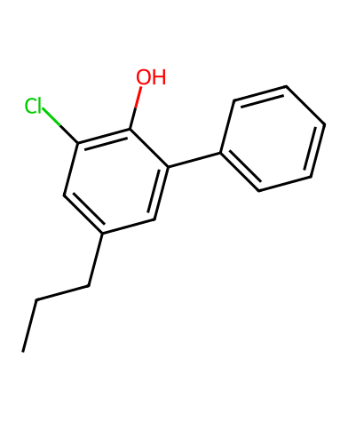 CCCc1cc(Cl)c(O)c(-c2ccccc2)c1